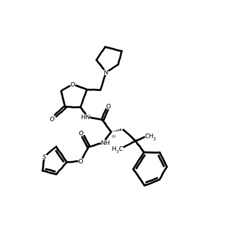 CC(C)(C[C@H](NC(=O)Oc1ccsc1)C(=O)NC1C(=O)COC1CN1CCCC1)c1ccccc1